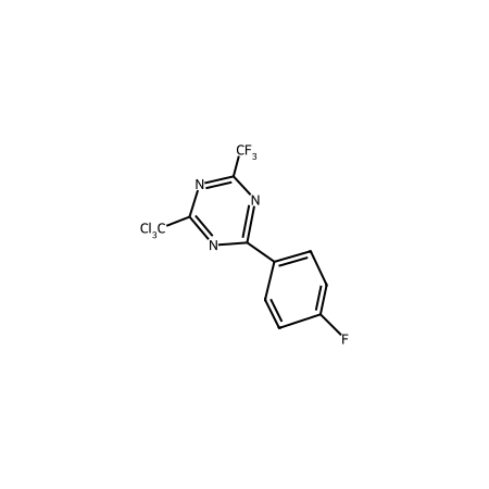 Fc1ccc(-c2nc(C(F)(F)F)nc(C(Cl)(Cl)Cl)n2)cc1